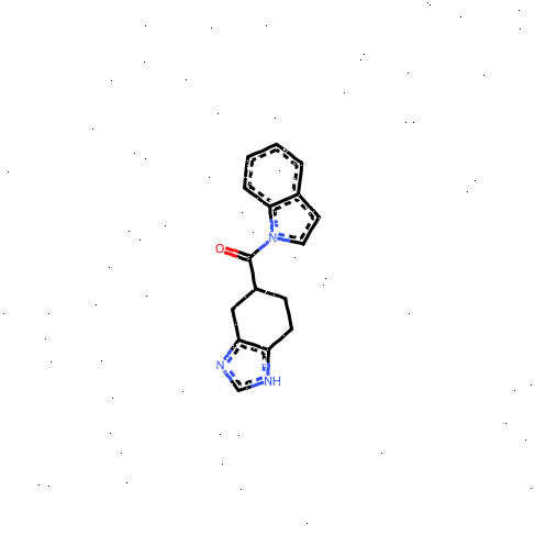 O=C(C1CCc2[nH]cnc2C1)n1ccc2ccccc21